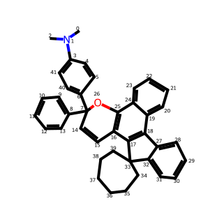 CN(C)c1ccc(C2(c3ccccc3)C=Cc3c4c(c5ccccc5c3O2)-c2ccccc2C42CCCCCC2)cc1